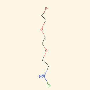 ClNCCOCCOCCBr